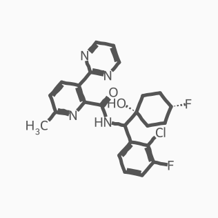 Cc1ccc(-c2ncccn2)c(C(=O)NC(c2cccc(F)c2Cl)[C@]2(O)CC[C@@H](F)CC2)n1